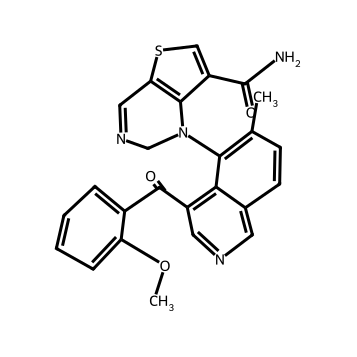 COc1ccccc1C(=O)c1cncc2ccc(C)c(N3CN=Cc4scc(C(N)=O)c43)c12